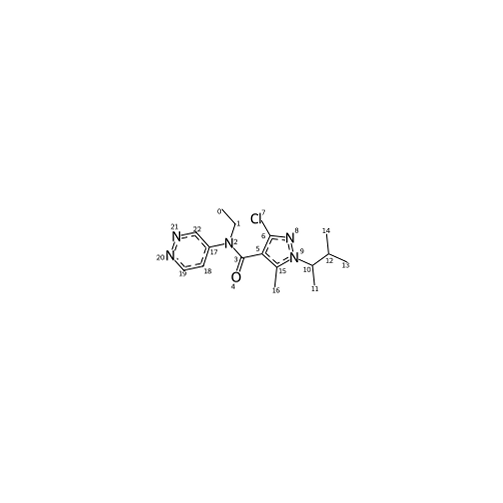 CCN(C(=O)c1c(Cl)nn(C(C)C(C)C)c1C)c1ccnnc1